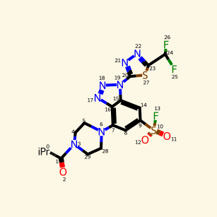 CC(C)C(=O)N1CCN(c2cc(S(=O)(=O)F)cc3c2nnn3-c2nnc(C(F)F)s2)CC1